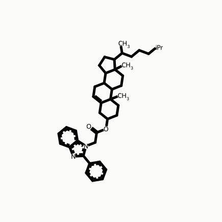 CC(C)CCCC(C)C1CCC2C3CC=C4CC(OC(=O)Cn5c(-c6ccccc6)nc6ccccc65)CCC4(C)C3CCC12C